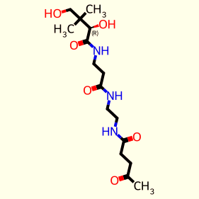 CC(=O)CCC(=O)NCCNC(=O)CCNC(=O)[C@H](O)C(C)(C)CO